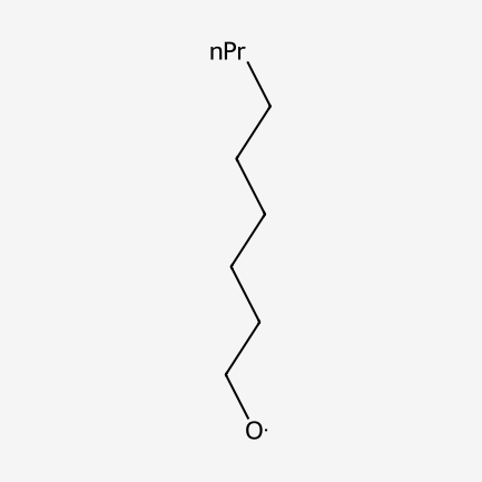 [CH2]CCCCCCCC[O]